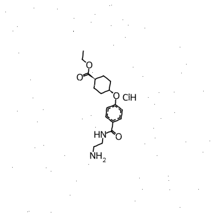 CCOC(=O)[C@H]1CC[C@@H](Oc2ccc(C(=O)NCCN)cc2)CC1.Cl